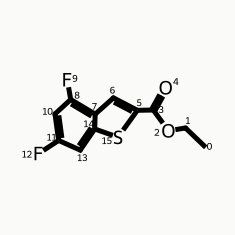 CCOC(=O)c1cc2c(F)cc(F)cc2s1